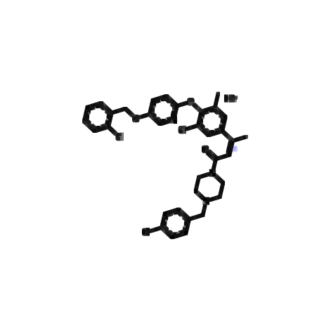 Br.C/C(=C/C(=O)N1CCN(Cc2ccc(Cl)cc2)CC1)c1cc(C)c(Oc2ccc(OCc3ccccc3Cl)cn2)c(Cl)c1